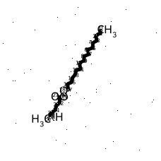 CCCCCCCCCCCCCCCCCCOOC(=O)CCCCNC